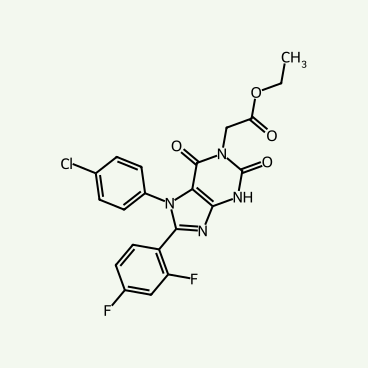 CCOC(=O)Cn1c(=O)[nH]c2nc(-c3ccc(F)cc3F)n(-c3ccc(Cl)cc3)c2c1=O